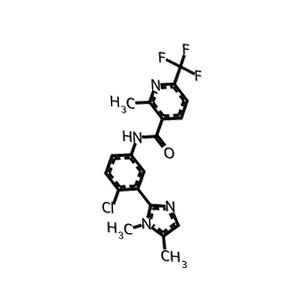 Cc1nc(C(F)(F)F)ccc1C(=O)Nc1ccc(Cl)c(-c2ncc(C)n2C)c1